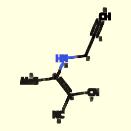 C#CCNC(SC)=C(C#N)C#N